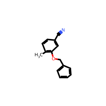 Cc1ccc(C#N)cc1OCc1ccccc1